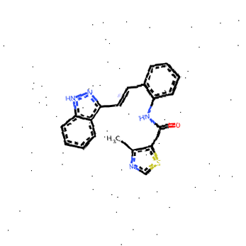 Cc1ncsc1C(=O)Nc1ccccc1/C=C/c1n[nH]c2ccccc12